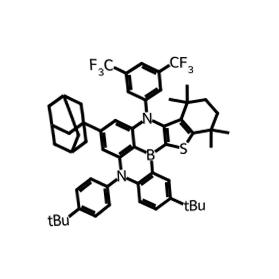 CC(C)(C)c1ccc(N2c3ccc(C(C)(C)C)cc3B3c4sc5c(c4N(c4cc(C(F)(F)F)cc(C(F)(F)F)c4)c4cc(C67CC8CC(CC(C8)C6)C7)cc2c43)C(C)(C)CCC5(C)C)cc1